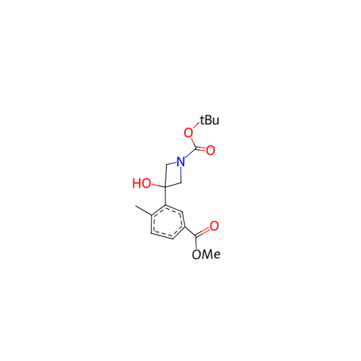 COC(=O)c1ccc(C)c(C2(O)CN(C(=O)OC(C)(C)C)C2)c1